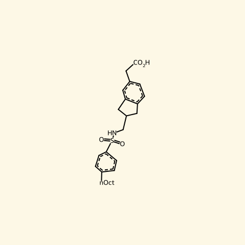 CCCCCCCCc1ccc(S(=O)(=O)NCC2Cc3ccc(CC(=O)O)cc3C2)cc1